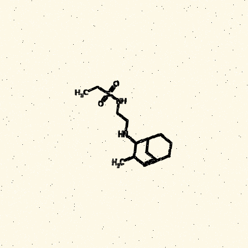 CCS(=O)(=O)NCCNC1C(C)C=C2CCCC1C2